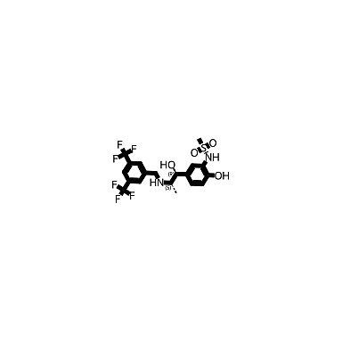 C[C@H](NCc1cc(C(F)(F)F)cc(C(F)(F)F)c1)[C@H](O)c1ccc(O)c(NS(C)(=O)=O)c1